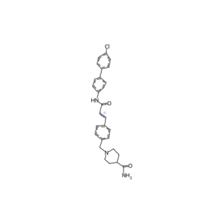 NC(=O)C1CCN(Cc2ccc(/C=C/C(=O)Nc3ccc(-c4ccc(Cl)cc4)cc3)cc2)CC1